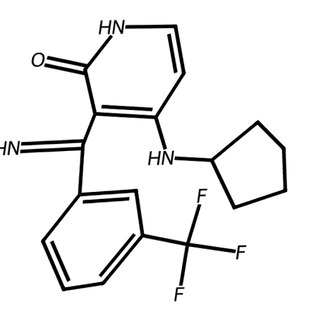 N=C(c1cccc(C(F)(F)F)c1)c1c(NC2CCCC2)cc[nH]c1=O